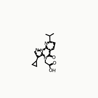 CC(C)c1ccc2c(=O)n(CC(=O)O)c3c(C4CC4)cnn3c2n1